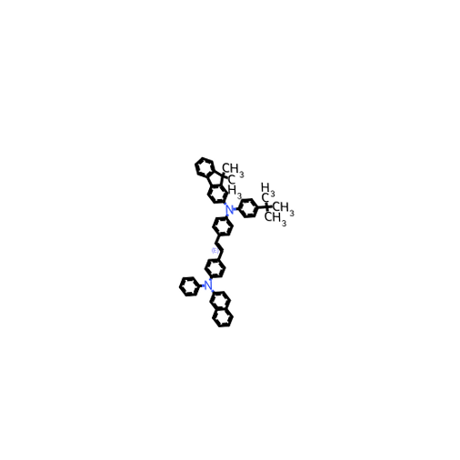 CC(C)(C)c1ccc(N(c2ccc(/C=C/c3ccc(N(c4ccccc4)c4ccc5ccccc5c4)cc3)cc2)c2ccc3c(c2)C(C)(C)c2ccccc2-3)cc1